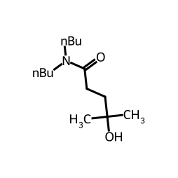 CCCCN(CCCC)C(=O)CCC(C)(C)O